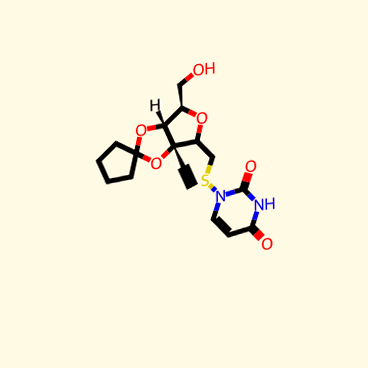 C#C[C@@]12OC3(CCCC3)O[C@@H]1[C@@H](CO)OC2CSn1ccc(=O)[nH]c1=O